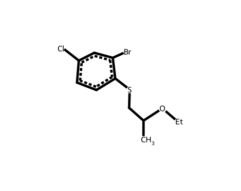 CCOC(C)CSc1ccc(Cl)cc1Br